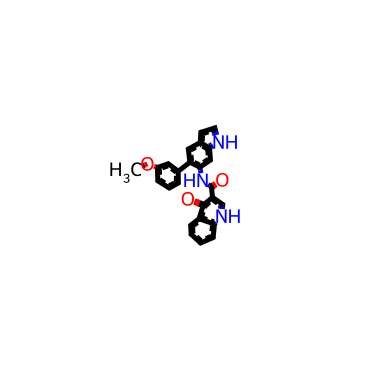 COc1cccc(-c2cc3cc[nH]c3cc2NC(=O)c2c[nH]c3ccccc3c2=O)c1